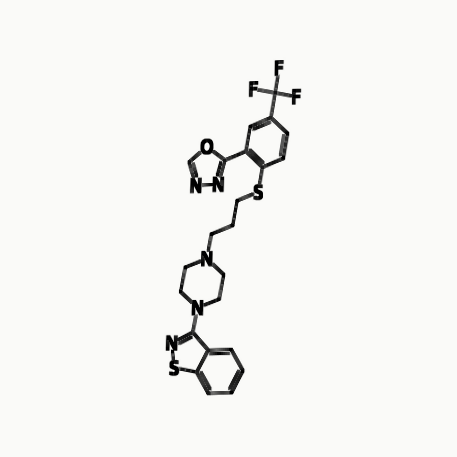 FC(F)(F)c1ccc(SCCCN2CCN(c3nsc4ccccc34)CC2)c(-c2nnco2)c1